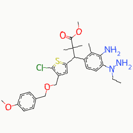 CCN(N)c1ccc(C(c2cc(COCc3ccc(OC)cc3)c(Cl)s2)C(C)(C)C(=O)OC)c(C)c1N